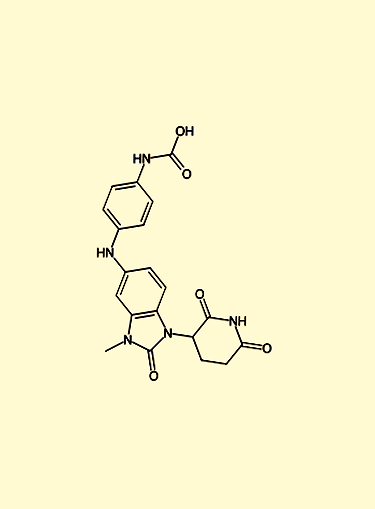 Cn1c(=O)n(C2CCC(=O)NC2=O)c2ccc(Nc3ccc(NC(=O)O)cc3)cc21